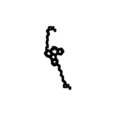 C=CCCCCCCc1ccc2c(c1)C(C1=CC=CC1)c1c-2ccc(CCCCCCC=C)c1C(C)C